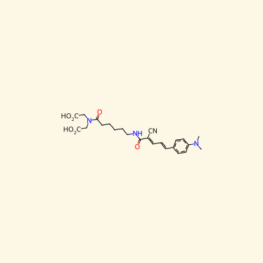 CN(C)c1ccc(/C=C/C=C(\C#N)C(=O)NCCCCCC(=O)N(CC(=O)O)CC(=O)O)cc1